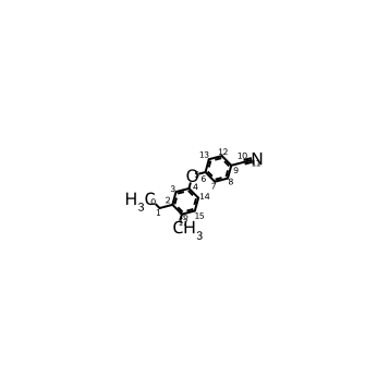 CCc1cc(Oc2ccc(C#N)cc2)ccc1C